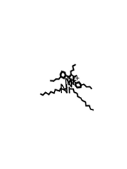 CCCCC1=C(c2cccc(CCCC)c2)[N+](=[N-])C(c2cccc(CCCC)c2)=C1C.CCCCCCCCCC[CH2][Ni][CH2]CCCCCCCCCC